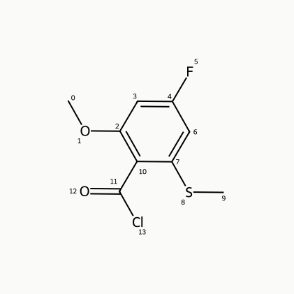 COc1cc(F)cc(SC)c1C(=O)Cl